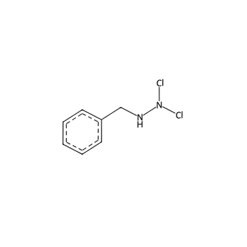 ClN(Cl)NCc1ccccc1